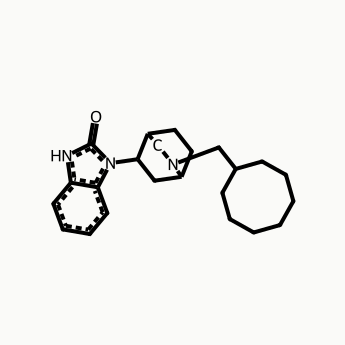 O=c1[nH]c2ccccc2n1C1CC2CCC1CN2CC1CCCCCCC1